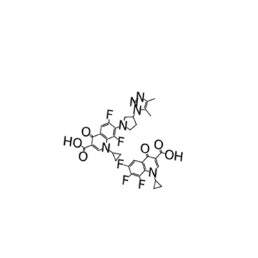 Cc1nnn(C2CCN(c3c(F)cc4c(=O)c(C(=O)O)cn(C5CC5)c4c3F)C2)c1C.O=C(O)c1cn(C2CC2)c2c(F)c(F)c(F)cc2c1=O